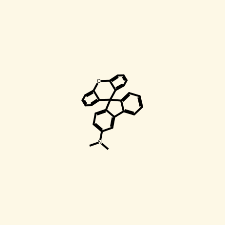 CN(C)c1ccc2c(c1)-c1ccccc1C21c2ccccc2Oc2ccccc21